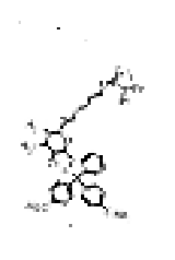 COc1ccc(C(OCC2OC(OCCCCCOP(C)N(C(C)C)C(C)C)C(C)C(C)C2C)(c2ccccc2)c2ccc(OC)cc2)cc1